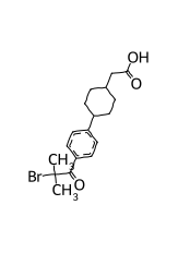 CC(C)(Br)C(=O)c1ccc(C2CCC(CC(=O)O)CC2)cc1